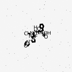 O=CN(O)C[C@@H](CC1CCCC1)C(=O)NNc1nc(Cl)nc(N2CCC[C@@H]2CN2CCOCC2)c1F